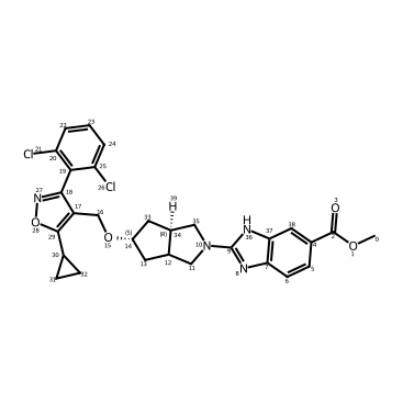 COC(=O)c1ccc2nc(N3CC4C[C@H](OCc5c(-c6c(Cl)cccc6Cl)noc5C5CC5)C[C@H]4C3)[nH]c2c1